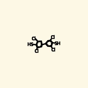 Sc1c(Cl)cc(-c2cc(Cl)c(S)c(Cl)c2)cc1Cl